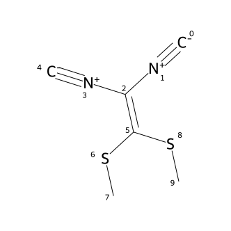 [C-]#[N+]C([N+]#[C-])=C(SC)SC